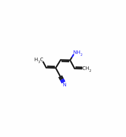 C=C/C(N)=C\C(C#N)=C/C